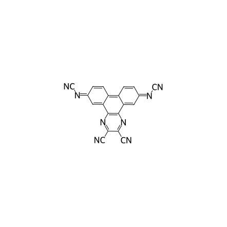 N#C/N=C1\C=Cc2c3c(c4nc(C#N)c(C#N)nc4c2=C1)=C/C(=N/C#N)C=C3